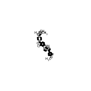 COc1ccc(-c2cnc3c(Nc4ccc(C(=O)N5CCN(C(=O)C[N+](C)(C)C)CC5)c(Cl)c4)nccn23)cc1F